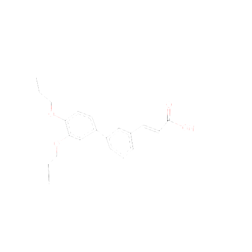 CCCOc1ccc(-c2cccc(C=CC(=O)O)c2)cc1OCCC